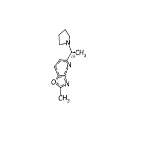 Cc1nc2nc([C@H](C)N3CCCC3)ccc2o1